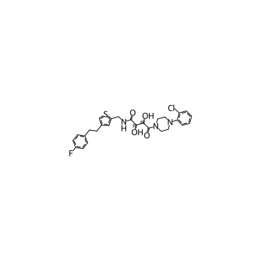 O=C(NCc1cc(CCc2ccc(F)cc2)cs1)[C@H](O)[C@@H](O)C(=O)N1CCN(c2ccccc2Cl)CC1